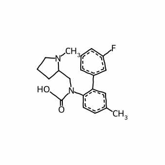 Cc1ccc(N(CC2CCCN2C)C(=O)O)c(-c2cccc(F)c2)c1